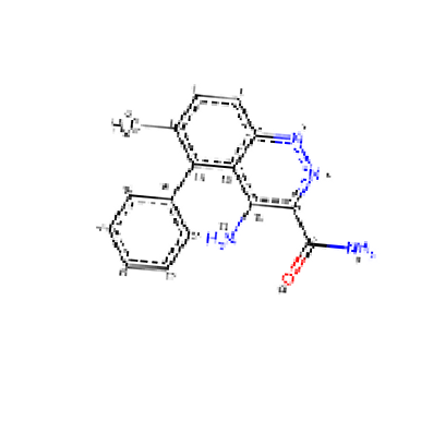 Cc1ccc2nnc(C(N)=O)c(N)c2c1-c1ccccc1